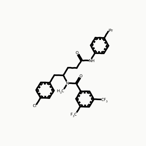 CC(C)c1ccc(NC(=O)CCC(Cc2ccc(Cl)cc2)N(C)C(=O)c2cc(C(F)(F)F)cc(C(F)(F)F)c2)cc1